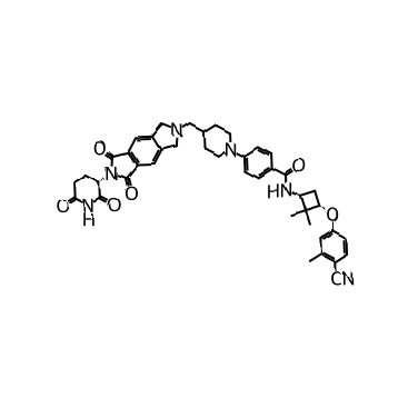 Cc1cc(O[C@H]2C[C@H](NC(=O)c3ccc(N4CCC(CN5Cc6cc7c(cc6C5)C(=O)N([C@H]5CCC(=O)NC5=O)C7=O)CC4)cc3)C2(C)C)ccc1C#N